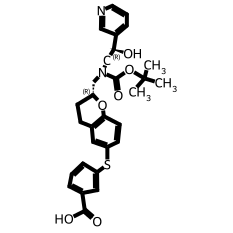 CC(C)(C)OC(=O)N(C[C@H]1CCc2cc(Sc3cccc(C(=O)O)c3)ccc2O1)C[C@H](O)c1cccnc1